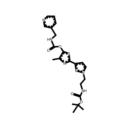 Cc1nc(-c2ccn(CCNC(=O)OC(C)(C)C)n2)sc1OC(=O)NCc1cccnc1